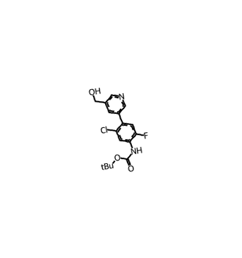 CC(C)(C)OC(=O)Nc1cc(Cl)c(-c2cncc(CO)c2)cc1F